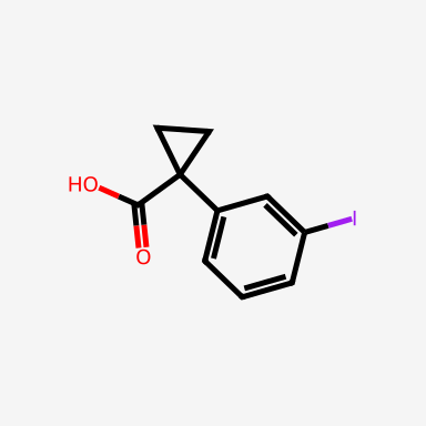 O=C(O)C1(c2cccc(I)c2)CC1